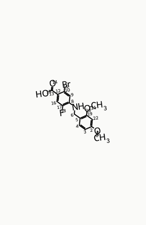 COc1ccc(CNc2cc(Br)c(C(=O)O)cc2F)c(OC)c1